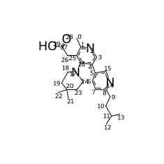 Cc1ncc(-c2ccc(CCC(C)C)nc2)c(N2CCC(C)(C)CC2)c1CC(=O)O